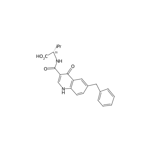 CC(C)[C@H](NC(=O)c1c[nH]c2ccc(Cc3ccccc3)cc2c1=O)C(=O)O